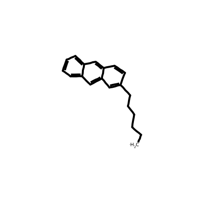 [CH2]CCCCCc1ccc2cc3ccccc3cc2c1